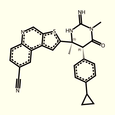 CN1C(=N)N[C@](C)(c2cc3c(cnc4ccc(C#N)cc43)s2)[C@@H](c2ccc(C3CC3)cc2)C1=O